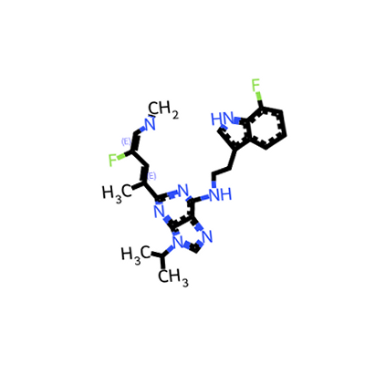 C=N/C=C(F)\C=C(/C)c1nc(NCCc2c[nH]c3c(F)cccc23)c2ncn(C(C)C)c2n1